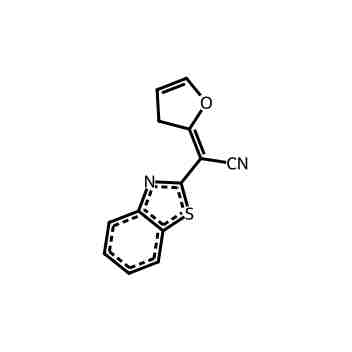 N#CC(=C1CC=CO1)c1nc2ccccc2s1